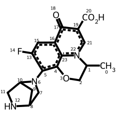 CC1COc2c(N3CC4CC3CN4)c(F)cc3c(=O)c(C(=O)O)cn1c23